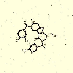 C[C@@H]1Cc2nn3c(c2CN1C(=O)c1ccc(Cl)c(C(F)(F)F)c1)C(=O)N([C@@H](C)c1ccc(C(F)(F)F)nc1)C[C@H]3CO